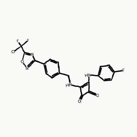 O=c1c(NCc2ccc(-c3noc(C(F)(F)Cl)n3)cc2)c(Nc2ccc(F)cc2)c1=O